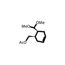 COC(OC)[C@H]1CC=CC[C@H]1COC(C)=O